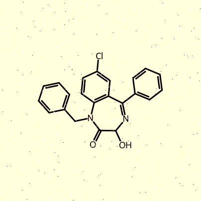 O=C1C(O)N=C(c2ccccc2)c2cc(Cl)ccc2N1Cc1ccccc1